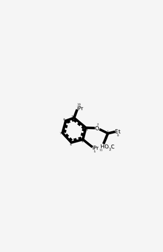 CCC(Oc1c(C(C)C)cccc1C(C)C)C(=O)O